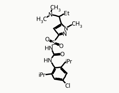 CCC(c1cc(S(=O)(=O)NC(=O)Nc2c(C(C)C)cc(Cl)cc2C(C)C)nn1C)N(C)C